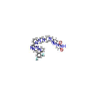 O=C1CCN(c2ccc(CN3CCC(N4CCN(c5cccc(-c6cnn7ccc(N8CCC[C@@H]8c8ccc(F)cc8F)nc67)n5)CC4)CC3)nn2)C(=O)N1